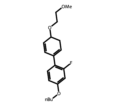 CCCCOc1ccc(C2=CCC(OCCOC)C=C2)c(F)c1